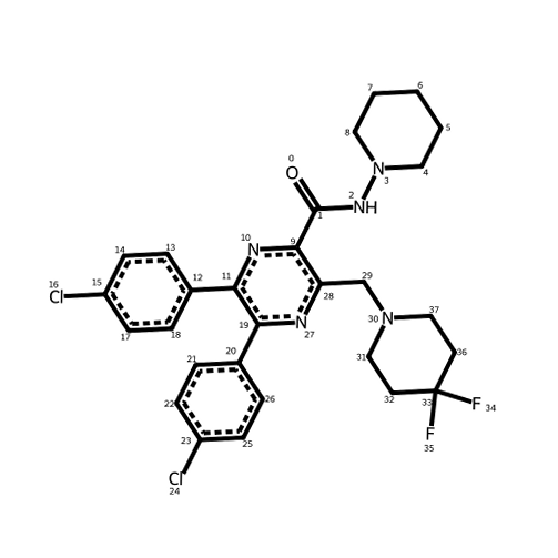 O=C(NN1CCCCC1)c1nc(-c2ccc(Cl)cc2)c(-c2ccc(Cl)cc2)nc1CN1CCC(F)(F)CC1